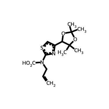 C=CCN(C(=O)O)c1nc(C2OC(C)(C)OC2(C)C)cs1